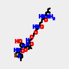 C=C(/C=C(\N)NC(=O)CCCC(=O)NCCOCCOCCC(=O)N[C@H](C(=O)N1C[C@H](O)C[C@H]1C(=O)NC1CSC=N[C@]1(C)/C=C\CC)C(C)(C)C)CC